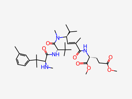 CN[C@H](C(=O)N[C@H](C(=O)N(C)[C@H](/C=C(\C)C(=O)N[C@H](CCC(=O)OC)C(=O)OC)C(C)C)C(C)(C)C)C(C)(C)c1cccc(C)c1